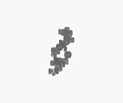 CCc1c2c(nc3ccc(OC(=O)N(C)CCNC(=O)[C@@H](CC(N)=O)NC(=O)NCCc4ccccc4)cc13)-c1cc3c(c(=O)n1C2)COC(=O)[C@]3(O)CC